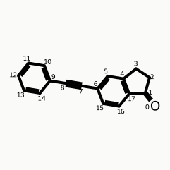 O=C1CCc2cc(C#Cc3ccccc3)ccc21